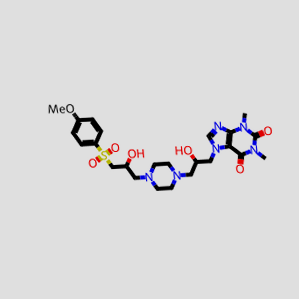 COc1ccc(S(=O)(=O)CC(O)CN2CCN(CC(O)Cn3cnc4c3c(=O)n(C)c(=O)n4C)CC2)cc1